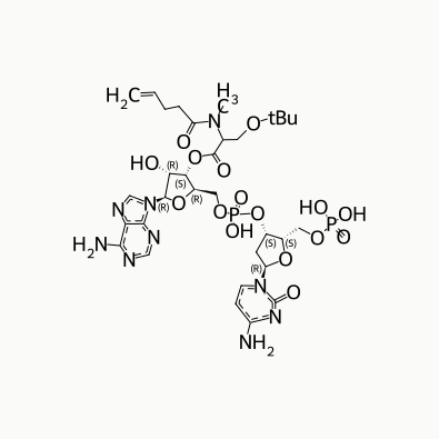 C=CCCC(=O)N(C)C(COC(C)(C)C)C(=O)O[C@H]1[C@@H](O)[C@H](n2cnc3c(N)ncnc32)O[C@@H]1COP(=O)(O)O[C@H]1C[C@H](n2ccc(N)nc2=O)O[C@H]1COP(=O)(O)O